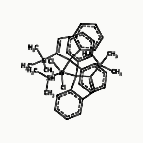 C[SiH](C)[Zr]([Cl])([Cl])([C]1(c2ccccc2)C([Si](C)(C)C)=Cc2ccccc21)[C]1(c2ccccc2)C([Si](C)(C)C)=Cc2ccccc21